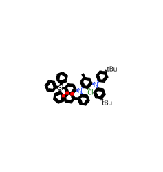 Cc1cc(N(c2ccc(C(C)(C)C)cc2)c2ccc(C(C)(C)C)cc2)c(Cl)c(N(c2ccc([Si](c3ccccc3)(c3ccccc3)c3ccccc3)cc2)c2ccccc2-c2ccccc2)c1